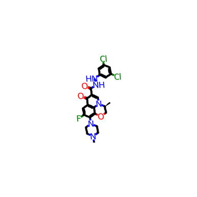 C[C@H]1COc2c(N3CCN(C)CC3)c(F)cc3c(=O)c(C(=O)NNc4cc(Cl)cc(Cl)c4)cn1c23